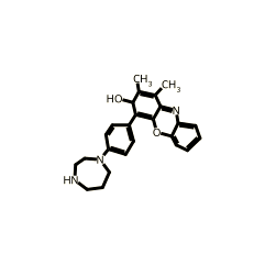 CC1=C(C)C(O)C(c2ccc(N3CCCNCC3)cc2)=C2Oc3ccccc3N=C12